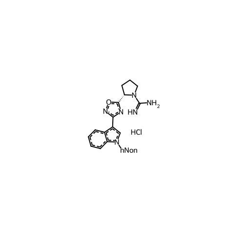 CCCCCCCCCn1cc(-c2noc([C@@H]3CCCN3C(=N)N)n2)c2ccccc21.Cl